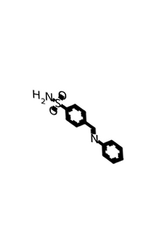 NS(=O)(=O)c1ccc(/C=N/c2ccccc2)cc1